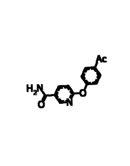 CC(=O)c1ccc(Oc2ccc(C(N)=O)cn2)cc1